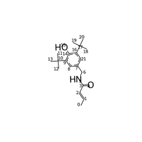 CC=CC(=O)NCc1cc(C(C)(C)C)c(O)c(C(C)(C)C)c1